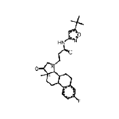 CC(C)(C)c1cc(NC(=O)CC[C@@H]2CC(=O)[C@@]3(C)CCC4c5ccc(F)cc5CCC4C23)no1